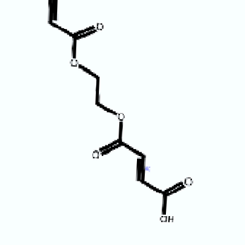 C=CC(=O)OCCOC(=O)/C=C/C(=O)O